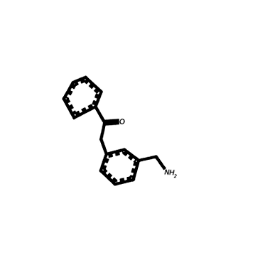 NCc1cccc(CC(=O)c2ccccc2)c1